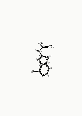 CCC(=O)Nc1nc2c(F)cccc2s1